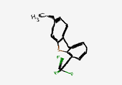 Cc1ccc2c(c1)sc1c(C(F)(F)F)cccc12